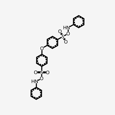 O=S(=O)(ONc1ccccc1)c1ccc(Oc2ccc(S(=O)(=O)ONc3ccccc3)cc2)cc1